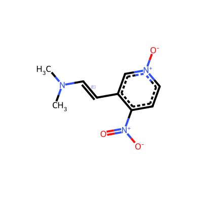 CN(C)/C=C/c1c[n+]([O-])ccc1[N+](=O)[O-]